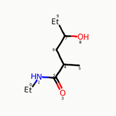 CCNC(=O)C(C)CC(O)CC